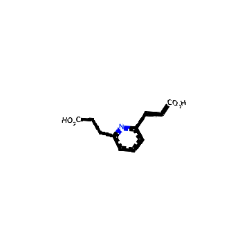 O=C(O)CCc1cccc(CCC(=O)O)n1